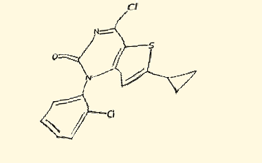 O=c1nc(Cl)c2sc(C3CC3)cc2n1-c1ccccc1Cl